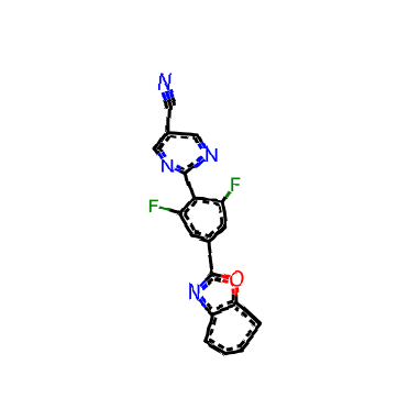 N#Cc1cnc(-c2c(F)cc(-c3nc4ccccc4o3)cc2F)nc1